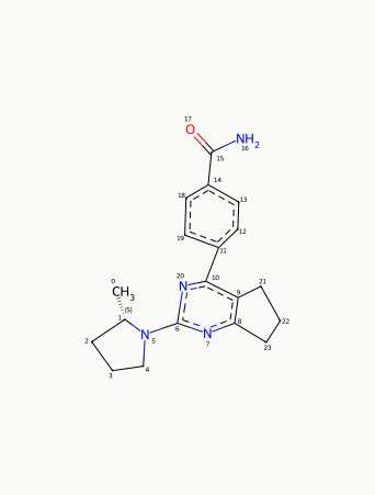 C[C@H]1CCCN1c1nc2c(c(-c3ccc(C(N)=O)cc3)n1)CCC2